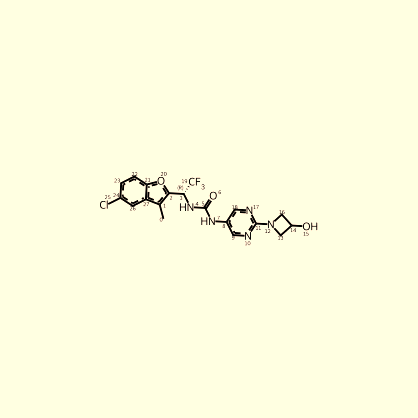 Cc1c([C@@H](NC(=O)Nc2cnc(N3CC(O)C3)nc2)C(F)(F)F)oc2ccc(Cl)cc12